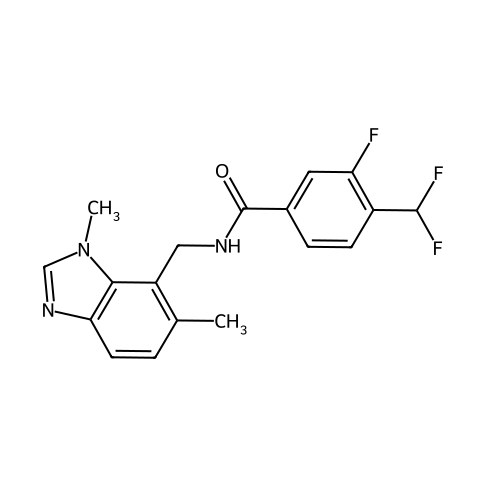 Cc1ccc2ncn(C)c2c1CNC(=O)c1ccc(C(F)F)c(F)c1